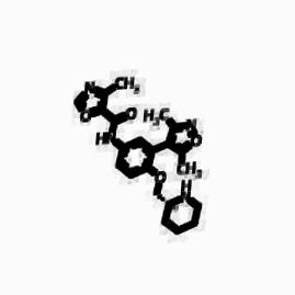 Cc1ncoc1C(=O)Nc1ccc(OC[C@H]2CCCCN2)c(-c2c(C)noc2C)c1